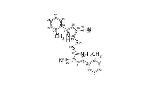 Cc1ccccc1-c1cc(C#N)c(SSc2[nH]c(-c3ccccc3C)cc2C#N)[nH]1